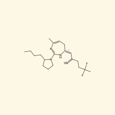 CCCCC1CCCN1C1=NC(C)=CC/C(=C/C(=N)CCC(C)(F)F)N1